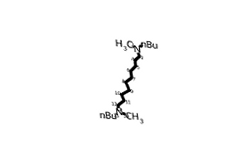 CCCCN(C)CCCCCCCCCCN(C)CCCC